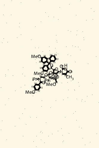 COCCO[C@H]1[C@H](n2cc(C)c(=O)[nH]c2=O)O[C@H](COC(c2ccccc2)(c2ccc(OC)cc2)c2ccc(OC)cc2)[C@@]1(O)OP(OCCN(C(=O)c1ccc(OC)cc1)C(C)C)N(C(C)C)C(C)C